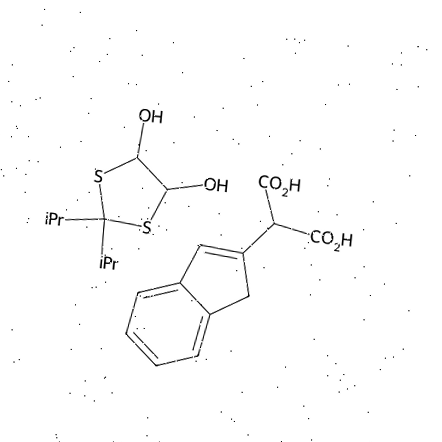 CC(C)C1(C(C)C)SC(O)C(O)S1.O=C(O)C(C(=O)O)C1=Cc2ccccc2C1